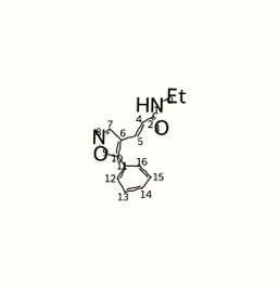 CCNC(=O)C=Cc1cnoc1-c1ccccc1